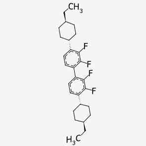 CC[C@H]1CC[C@H](c2ccc(-c3ccc([C@H]4CC[C@H](CC)CC4)c(F)c3F)c(F)c2F)CC1